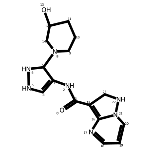 O=C(NC1=CNNC1N1CCCC(O)C1)C1=C2N=CC=CN2NC1